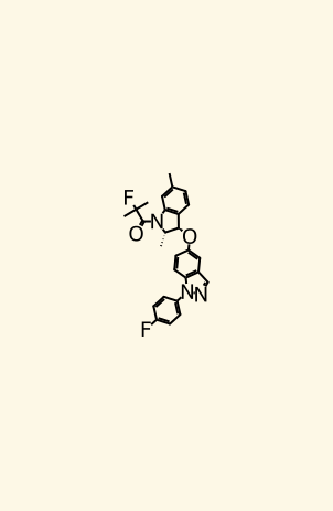 Cc1ccc2c(c1)N(C(=O)C(C)(C)F)[C@@H](C)[C@@H]2Oc1ccc2c(cnn2-c2ccc(F)cc2)c1